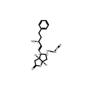 O=BPP[C@@H]1C[C@@H]2OC(=O)C[C@@H]2[C@H]1/C=C/[C@@H](O)CCc1ccccc1